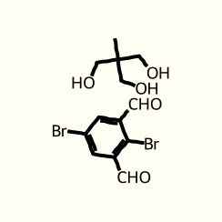 CC(CO)(CO)CO.O=Cc1cc(Br)cc(C=O)c1Br